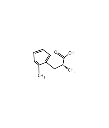 Cc1ccccc1C[C@H](C)C(=O)O